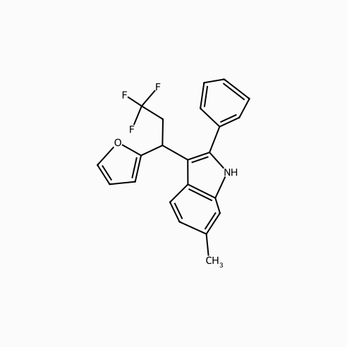 Cc1ccc2c(C(CC(F)(F)F)c3ccco3)c(-c3ccccc3)[nH]c2c1